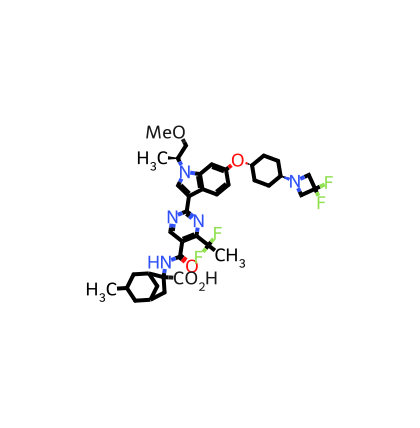 COC[C@H](C)n1cc(-c2ncc(C(=O)NC3(C(=O)O)CC4CC(C)CC3C4)c(C(C)(F)F)n2)c2ccc(O[C@H]3CC[C@H](N4CC(F)(F)C4)CC3)cc21